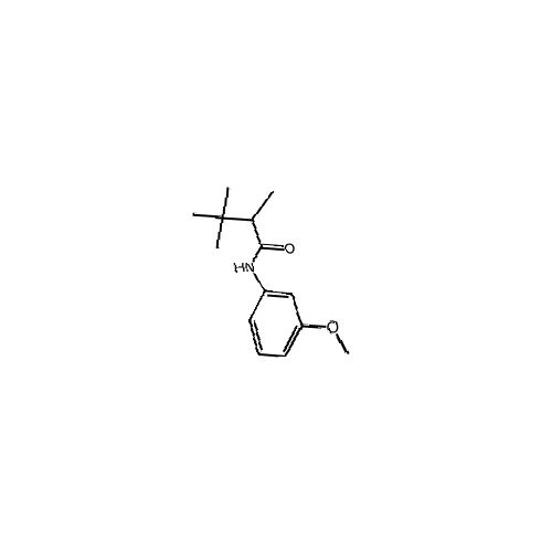 COc1cccc(NC(=O)C(C)C(C)(C)C)c1